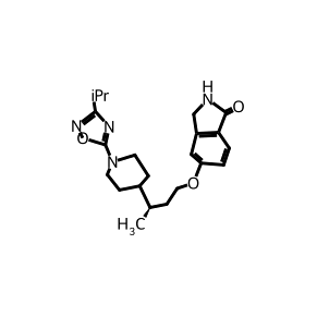 CC(C)c1noc(N2CCC([C@H](C)CCOc3ccc4c(c3)CNC4=O)CC2)n1